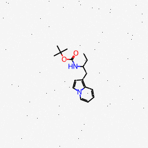 CCC(Cc1ccn2ccccc12)NC(=O)OC(C)(C)C